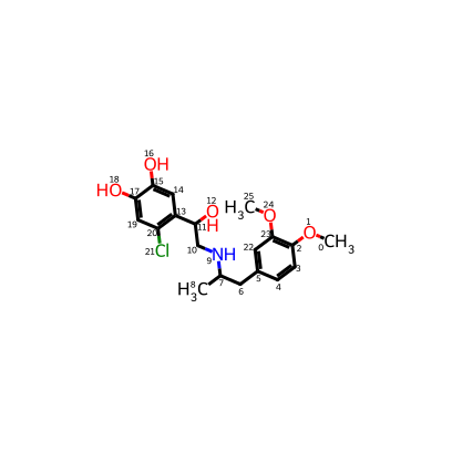 COc1ccc(CC(C)NCC(O)c2cc(O)c(O)cc2Cl)cc1OC